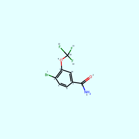 NC(=O)c1ccc(Br)c(OC(F)(F)F)c1